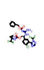 N/C(=N\C(=O)OCc1ccccc1)N[C@H](COC(=O)NC1(C(F)F)CC1)c1ccc(Cl)c(-c2ncnn2C(F)F)c1